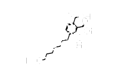 CCCCCCCCc1ccc(C(=O)O)c(C(=O)O)c1C